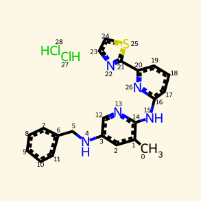 Cc1cc(NCc2ccccc2)cnc1Nc1cccc(-c2nccs2)n1.Cl.Cl